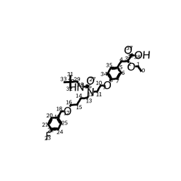 CCOC(Cc1ccc(OCCN(CCCCOCc2ccc(F)cc2)C(=O)NCC(C)(C)C)cc1)C(=O)O